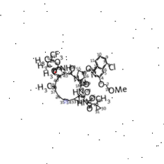 COCCOc1cc2c(Cl)cccc2c(O[C@@H]2C[C@H]3C(=O)N[C@]4(C(=O)NS(=O)(=O)C5(C)CC5)CC4/C=C\CC[C@@H](C)C[C@@H](C)[C@H](NC(=O)OC(C)(C)C(F)(F)F)C(=O)N3C2)n1